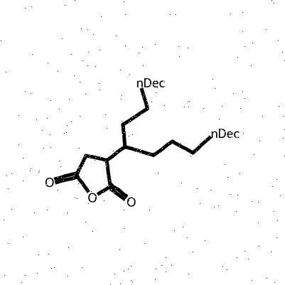 CCCCCCCCCCCCCC(CCCCCCCCCCCC)C1CC(=O)OC1=O